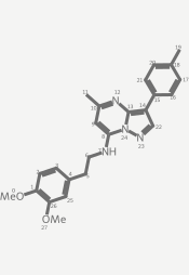 COc1ccc(CCNc2cc(C)nc3c(-c4ccc(C)cc4)cnn23)cc1OC